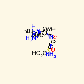 C=C1CC(SC[C@H](N)C(=O)O)C(=O)N1CC1CCC(C(=O)N2CCN(c3cc(OC)c(Cn4cc5nc(N)nc(NCCCC)c5n4)c(OC)c3)CC2)CC1